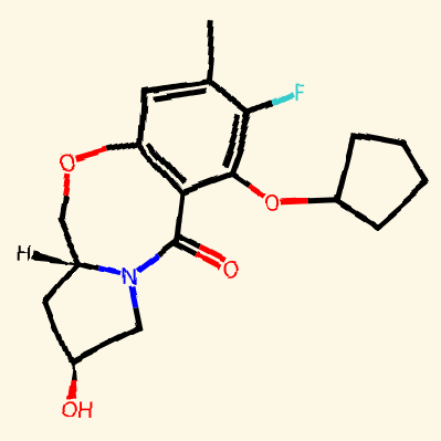 Cc1cc2c(c(OC3CCCC3)c1F)C(=O)N1C[C@@H](O)C[C@@H]1CO2